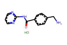 Cl.NCc1ccc(C(=O)Nc2ncccn2)cc1